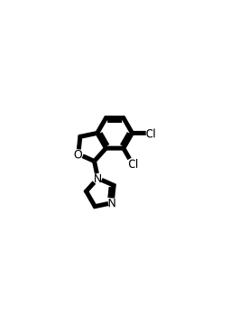 Clc1ccc2c(c1Cl)C(N1C=NCC1)OC2